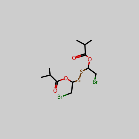 CC(C)C(=O)OC(CBr)SSC(CBr)OC(=O)C(C)C